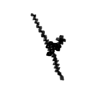 CCCCCCCCCCCCCCCC(=O)OC(COC(=O)CCCCCCCCCCCCCC)COP(=O)(O)OCC[N+](C)(C)C